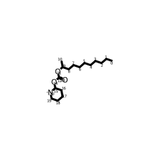 CCCCCCCCCC(C)OC(=O)OC1CCCC[N]1